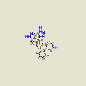 O=C(O)c1[nH]nnc1C1(c2c[nH]nn2)C=CC(c2ccccc2)=C(C2CCNCC2)C1